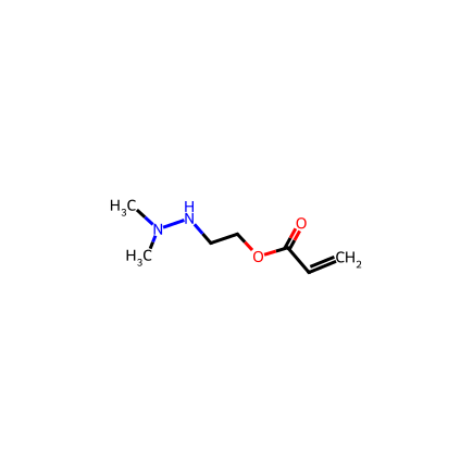 C=CC(=O)OCCNN(C)C